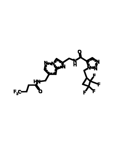 O=C(CCC(F)(F)F)NCc1cnn2cc(CNC(=O)c3cnnn3CC3CC(F)(F)C3(F)F)nc2c1